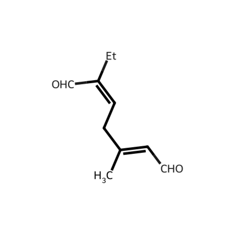 CCC(C=O)=CCC(C)=CC=O